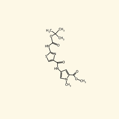 COC(=O)c1cc(NC(=O)c2csc(NC(=O)OC(C)(C)C)n2)cn1C